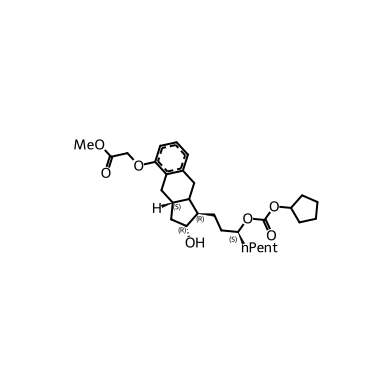 CCCCC[C@@H](CC[C@@H]1C2Cc3cccc(OCC(=O)OC)c3C[C@H]2C[C@H]1O)OC(=O)OC1CCCC1